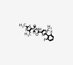 Cc1nc(C)c(S(=O)(=O)NC(=O)c2cn(C)c(-c3c(F)cccc3F)n2)s1